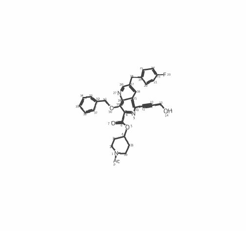 CC(=O)N1CCC(OC(=O)c2nc(C#CCO)c3cc(Cc4ccc(F)cc4)cnc3c2OCc2ccccc2)CC1